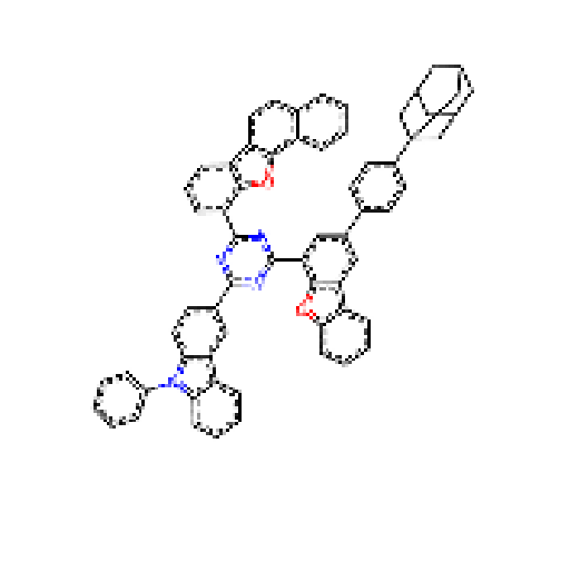 c1ccc(-n2c3ccccc3c3cc(-c4nc(-c5cc(-c6ccc(C78CC9CC(CC(C9)C7)C8)cc6)cc6c5oc5ccccc56)nc(-c5cccc6c5oc5c7ccccc7ccc65)n4)ccc32)cc1